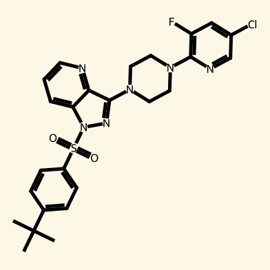 CC(C)(C)c1ccc(S(=O)(=O)n2nc(N3CCN(c4ncc(Cl)cc4F)CC3)c3ncccc32)cc1